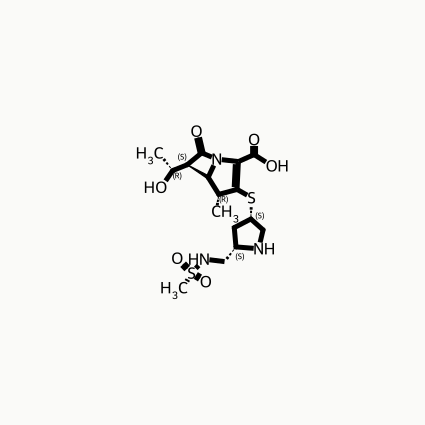 C[C@H]1C(S[C@@H]2CN[C@H](CNS(C)(=O)=O)C2)=C(C(=O)O)N2C(=O)[C@H]([C@@H](C)O)C12